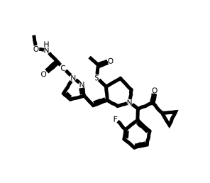 CONC(=O)Cn1ccc(C=C2CN(C(C(=O)C3CC3)c3ccccc3F)CCC2SC(C)=O)n1